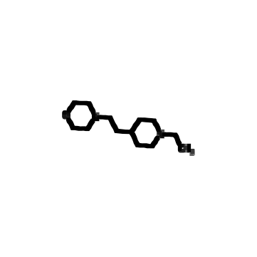 CCN1CCC(CCN2CCOCC2)CC1